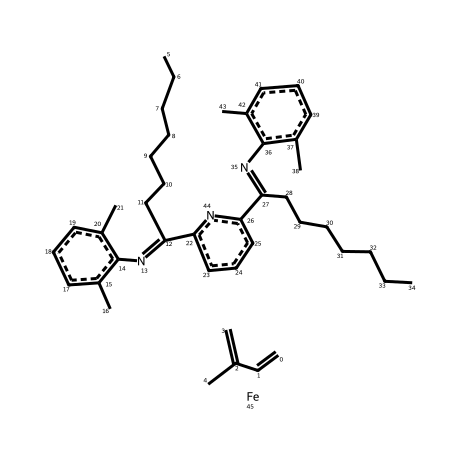 C=CC(=C)C.CCCCCCCC(=Nc1c(C)cccc1C)c1cccc(C(CCCCCCC)=Nc2c(C)cccc2C)n1.[Fe]